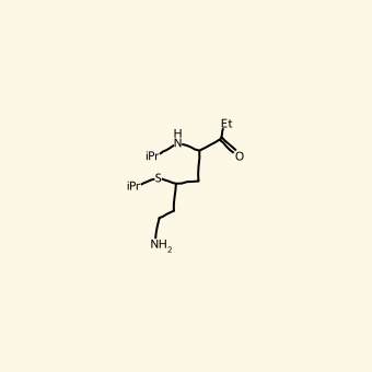 CCC(=O)C(CC(CCN)SC(C)C)NC(C)C